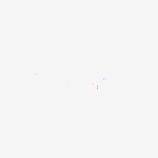 CCCCCCCCCCCCCCCOC(=O)C(N)CCCCN